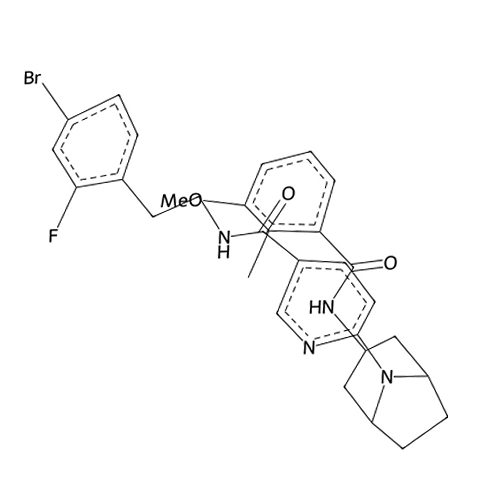 COc1cccc(C(=O)NC2CC3CCC(C2)N3c2ccc(C(=O)NCCc3ccc(Br)cc3F)cn2)c1C